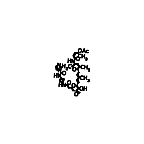 CC(=O)O[C@@H](C)/C=C\C(=O)N[C@@H]1C[C@H](C)[C@H](C/C=C(C)/C=C/[C@H]2O[C@H](CC(=O)NC3CC(NC(=O)n4ccnc4)C3)C[C@@]3(CO3)[C@@H]2O)O[C@@H]1C